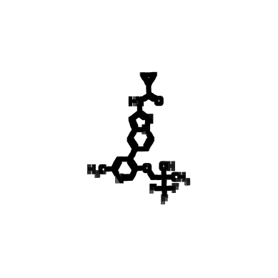 Cc1cc(-c2ccn3nc(NC(=O)C4CC4)cc3c2)c(OCC(C)(O)C(F)(F)F)cn1